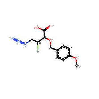 COc1ccc(COC(C(=O)O)C(F)CN=[N+]=[N-])cc1